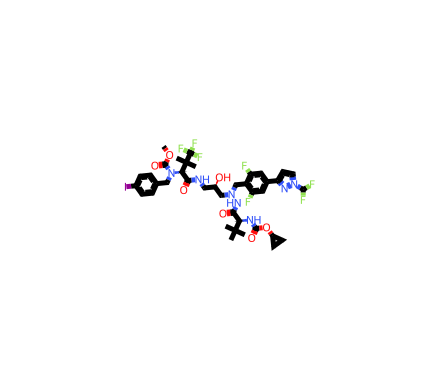 COC(=O)N(Cc1ccc(I)cc1)[C@H](C(=O)NC[C@H](O)CN(Cc1c(F)cc(-c2ccn(C(F)F)n2)cc1F)NC(=O)[C@@H](NC(=O)OC1CC1)C(C)(C)C)C(C)(C)C(F)(F)F